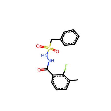 Cc1cccc(C(=O)NNS(=O)(=O)Cc2ccccc2)c1F